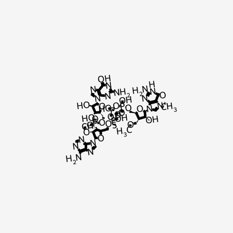 COC[C@H]1[C@@H](O)[C@H](n2c[n+](C)c3c(=O)[nH]c(N)nc32)O[C@@H]1COP(=O)(O)OP(=O)(O)OP(O)(=S)OCC1O[C@@H](n2cnc3c(N)ncnc32)[C@H](OC)[C@@H]1P(=O)([O-])OC[C@H]1O[C@@H](n2cnc3c(=O)[nH]c(N)nc32)[C@H](O)[C@@H]1O